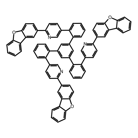 c1ccc(-c2cc(-c3ccccc3-c3ccc(-c4ccc5oc6ccccc6c5c4)nc3)cc(-c3ccccc3-c3ccc(-c4ccc5oc6ccccc6c5c4)nc3)c2)c(-c2ccc(-c3ccc4oc5ccccc5c4c3)nc2)c1